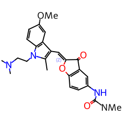 CNC(=O)Nc1ccc2c(c1)C(=O)/C(=C/c1c(C)n(CCN(C)C)c3ccc(OC)cc13)O2